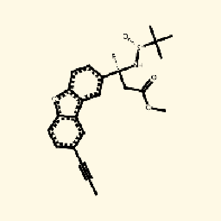 CC#Cc1ccc2oc3ccc([C@](C)(CC(=O)OC)N[S@+]([O-])C(C)(C)C)cc3c2c1